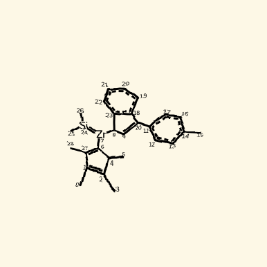 CC1=C(C)C(C)[C]([Zr]([CH]2C=C(c3ccc(C)cc3)c3ccccc32)=[Si](C)C)=C1C